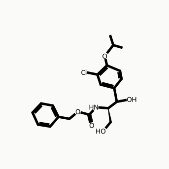 CC(C)Oc1ccc(C(O)[C@@H](CO)NC(=O)OCc2ccccc2)cc1Cl